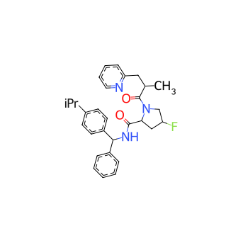 CC(Cc1ccccn1)C(=O)N1CC(F)CC1C(=O)NC(c1ccccc1)c1ccc(C(C)C)cc1